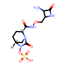 NC1C(=O)NC1CONC(=O)[C@@H]1CC[C@@H]2CN1C(=O)N2OS(=O)(=O)O